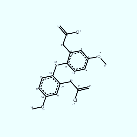 C=C(Cl)Cc1cc(OC)ccc1Sc1ccc(OC)cc1CC(=C)Cl